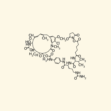 COc1cc2cc(c1Cl)N(C)C(=O)C[C@H](OC(=O)Nc1ccc(NC(=O)[C@H](CCCNC(N)=O)NC(=O)[C@@H](NC(=O)CCCCC(=O)ON3C(=O)CCC3=O)C(C)C)cc1)[C@]1(C)O[C@H]1[C@H](C)[C@@H]1C[C@@](O)(NC(=O)O1)[C@H](OC)/C=C/C=C(\C)C2